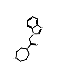 O=C(Cn1cnc2ccccc21)N1CCCNCC1